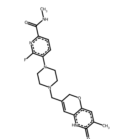 CNC(=O)c1ccc(N2CCN(CC3=Cc4[nH]c(=O)c(C)cc4OC3)CC2)c(F)n1